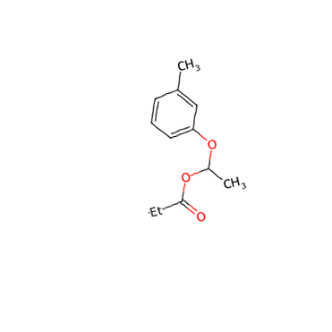 C[CH]C(=O)OC(C)Oc1cccc(C)c1